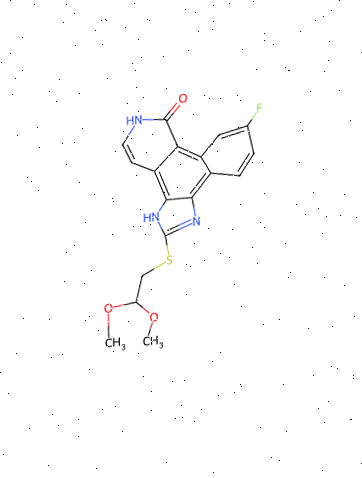 COC(CSc1nc2c3ccc(F)cc3c3c(=O)[nH]ccc3c2[nH]1)OC